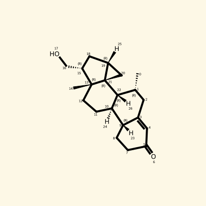 C[C@@H]1CC2=CC(=O)CC[C@@H]2[C@H]2CC[C@]3(C)[C@H](CO)C[C@@H]4C[C@]43[C@@H]21